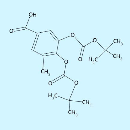 Cc1cc(C(=O)O)cc(OC(=O)OC(C)(C)C)c1OC(=O)OC(C)(C)C